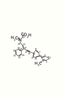 Cc1cscc1-c1ccc(C#CC(=CCN(C)CC(=O)O)c2ccccc2)cc1